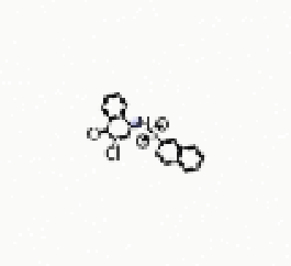 O=C1C(Cl)=C/C(=N\S(=O)(=O)c2ccc3ccccc3c2)c2ccccc21